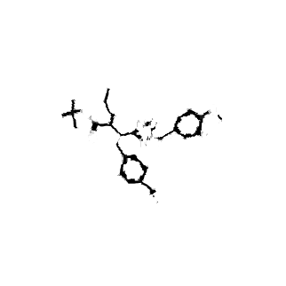 CCCC(C(=O)OC(C)(C)C)[C@H](Cc1ccc(C#N)cc1)c1nnn(Cc2ccc(OC)cc2)n1